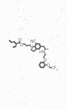 C=C/C=C(\C=C)C(=O)OCCCN1CCc2cc(C[C@@H](C)NCCOc3ccccc3OCC(F)(F)F)cc(C#N)c21